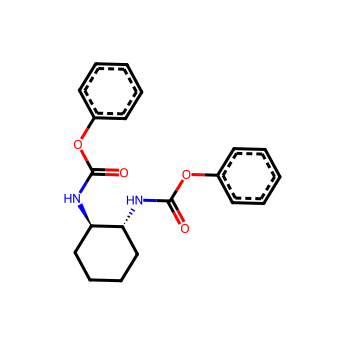 O=C(N[C@@H]1CCCC[C@H]1NC(=O)Oc1ccccc1)Oc1ccccc1